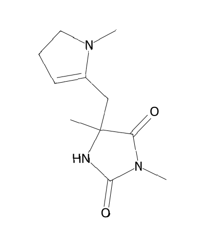 CN1CCC=C1CC1(C)NC(=O)N(C)C1=O